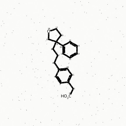 O=C(O)Cc1ccc(CCCC2(c3ccccc3)CCOC2)cc1